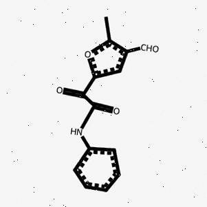 Cc1oc(C(=O)C(=O)Nc2ccccc2)cc1C=O